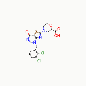 O=C(O)C1CN(c2nc3c(s2)c(=O)ncn3Cc2cccc(Cl)c2Cl)CCO1